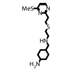 CSc1ccnc(CCSCCNCC2CCC(N)CC2)n1